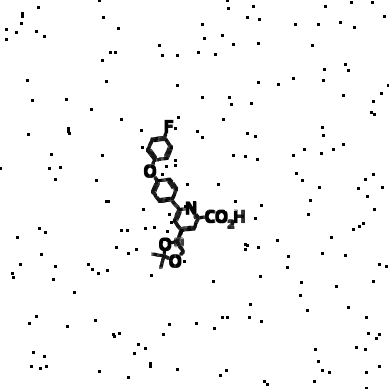 CC1(C)OC[C@H](c2cc(C(=O)O)nc(-c3ccc(Oc4ccc(F)cc4)cc3)c2)O1